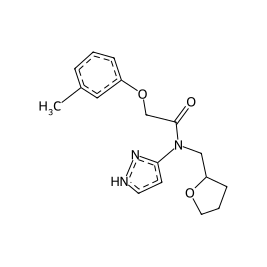 Cc1cccc(OCC(=O)N(CC2CCCO2)c2cc[nH]n2)c1